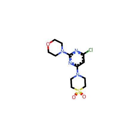 O=S1(=O)CCN(c2cc(Cl)nc(N3CCOCC3)n2)CC1